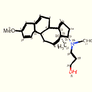 COC1=CC2=CCC3C(CC[C@@]4(C)C3CC[C@@H]4N(C=O)CCCO)C2C=C1